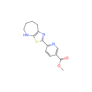 COC(=O)c1ccc(-c2nc3c(s2)NCCCC3)nc1